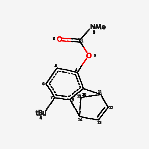 CNC(=O)Oc1ccc(C(C)(C)C)c2c1C1C=CC2C1